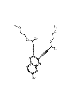 CCOCCOC(C#Cc1nc2ccc(C(C)=O)cc2nc1C#CC(CC)OCCOCC)CC